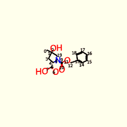 CC1(O)C[C@@H](C(=O)O)N(C(=O)OCc2ccccc2)C1